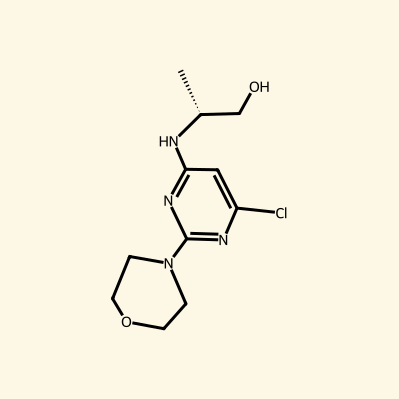 C[C@H](CO)Nc1cc(Cl)nc(N2CCOCC2)n1